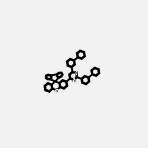 c1ccc(-c2cccc(-c3cc(-c4ccc5c(c4)C4(c6ccccc6S5)c5ccccc5-c5ccccc54)nc(-c4cccc(-c5ccccc5)c4)n3)c2)cc1